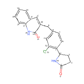 O=C1CCC(c2ccc(Cc3cc4ccccc4[nH]c3=O)cc2Cl)N1